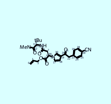 C=CCOC(=O)[C@@H](CC(=O)N[C@H](C(=O)NC)C(C)(C)C)n1ccc(C(=O)Cc2ccc(C#N)cc2)c1